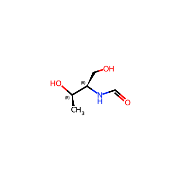 C[C@@H](O)[C@@H](CO)NC=O